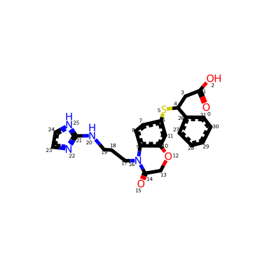 O=C(O)CC(Sc1ccc2c(c1)OCC(=O)N2CCCNc1ncc[nH]1)c1ccccc1